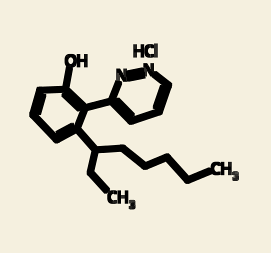 CCCCCC(CC)c1cccc(O)c1-c1cccnn1.Cl